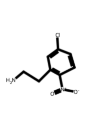 NCCc1cc(Cl)ccc1[N+](=O)[O-]